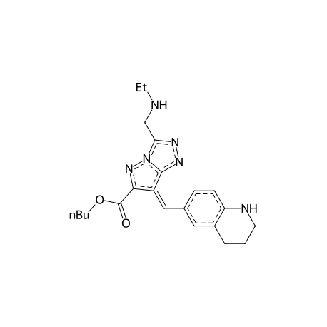 CCCCOC(=O)c1nn2c(CNCC)nnc2/c1=C\c1ccc2c(c1)CCCN2